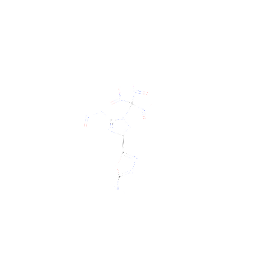 Nc1nnc(-c2nc([N-][N+](=O)[O-])n(C([N+](=O)[O-])([N+](=O)[O-])[N+](=O)[O-])n2)o1